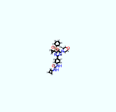 C[C@H]1COCCN1c1cc(C2(S(=O)(=O)c3ccccc3)CC2)nc(-c2ccc(NC(=O)NC3CCC3)cc2)n1